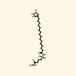 CCNC(=O)CCCS(=O)(=O)NC(=O)CCCCCCCCCCCCCCCC1=NNNN1